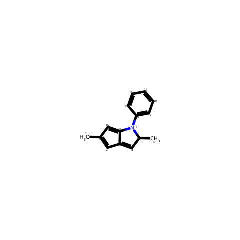 CC1=[C]C2=CC(C)N(c3ccccc3)C2=C1